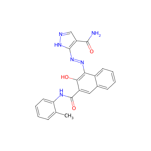 Cc1ccccc1NC(=O)c1cc2ccccc2c(/N=N/c2[nH]ncc2C(N)=O)c1O